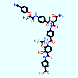 CC(C)Oc1c(NC(=O)c2ccc(NC(=O)C(CC(N)=O)NC(=O)c3ccc(NC(=O)C(C)Oc4ccc(C#N)cc4)cc3)cc2)ccc(C(=O)Nc2ccc(C(=O)O)cc2)c1O